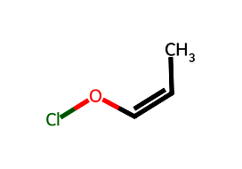 C/C=C\OCl